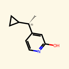 [CH2][C@H](c1ccnc(O)c1)C1CC1